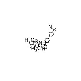 Cc1noc(-c2ccc(-c3ccc(C4(C#N)CC4)cc3)cc2)c1NC(=O)O[C@H](C)c1ccccc1